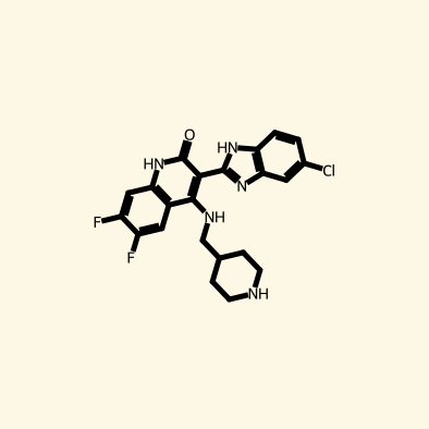 O=c1[nH]c2cc(F)c(F)cc2c(NCC2CCNCC2)c1-c1nc2cc(Cl)ccc2[nH]1